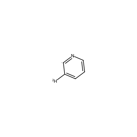 [2H]c1[c]nccc1